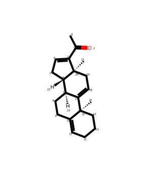 CC(=O)C1=CC[C@H]2[C@@H]3CCC4=CCCC[C@]4(C)C3=CC[C@]12C